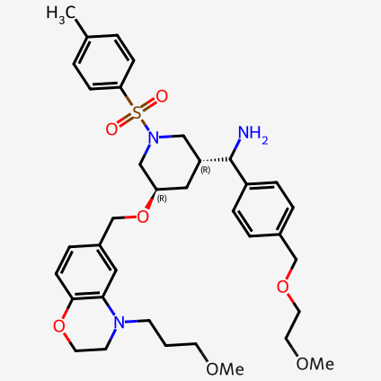 COCCCN1CCOc2ccc(CO[C@@H]3C[C@@H](C(N)c4ccc(COCCOC)cc4)CN(S(=O)(=O)c4ccc(C)cc4)C3)cc21